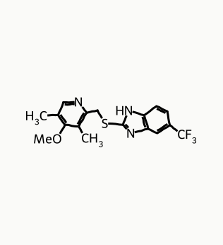 COc1c(C)cnc(CSc2nc3cc(C(F)(F)F)ccc3[nH]2)c1C